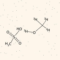 CS(=O)(=O)O.[2H]OC([2H])([2H])[2H]